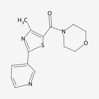 Cc1nc(-c2cccnc2)sc1C(=O)N1CCOCC1